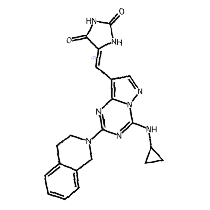 O=C1NC(=O)/C(=C/c2cnn3c(NC4CC4)nc(N4CCc5ccccc5C4)nc23)N1